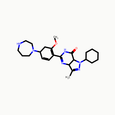 COC1=C(C2=NC3C(C)=NN(C4CCCCC4)C3C(=O)N2)C=CC(N2CCCNCC2)C1